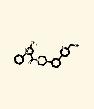 Cc1cc(C(=O)N2CCC(c3cccc(-c4ccc(CO)nc4)c3)CC2)n(-c2ccccc2)n1